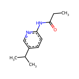 CCC(=O)Nc1ccc(C(C)C)cn1